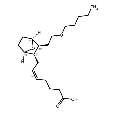 CCCCCOCC[C@H]1[C@@H](C/C=C\CCCC(=O)O)[C@H]2CC[C@@H]1O2